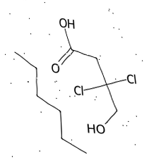 CCCCCC.O=C(O)CC(Cl)(Cl)CO